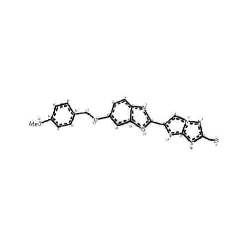 CCc1nn2cc(-c3nc4ccc(OCc5ccc(OC)cc5)cc4o3)nc2s1